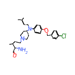 CC(C)CCN(c1ccc(OCc2ccc(Cl)cc2)cc1)C1CCN(CCC(C)C(N)C=O)CC1